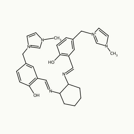 Cn1cc[n+](Cc2ccc(O)c(/C=N/C3CCCCC3/N=C/c3cc(C[n+]4ccn(C)c4)ccc3O)c2)c1